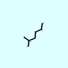 [C]CCCC(C)C